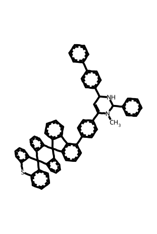 CN1C(c2ccc(-c3cccc4c3-c3ccccc3C43c4ccccc4C4(c5ccccc5Sc5ccccc54)c4ccccc43)cc2)=CC(c2ccc(-c3ccccc3)cc2)NC1c1ccccc1